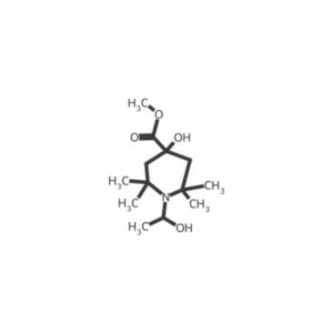 COC(=O)C1(O)CC(C)(C)N(C(C)O)C(C)(C)C1